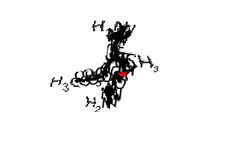 CSP1(=O)OC[C@H]2O[C@@H](n3cnc4c(N)ncnc43)C(OP(=O)(SCOC(=O)OC(C)C)OCC3OC(n4cnc5c(N)ncnc54)C(F)C3O1)C2O